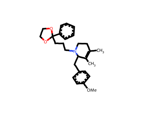 COc1ccc(CC2C(C)=C(C)CCN2CCCC2(c3ccccc3)OCCO2)cc1